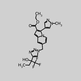 CCOC(=O)c1cc2cc(Cn3cc(C(O)(CC)C(F)(F)F)nn3)ccn2c1-c1cnn(C)c1